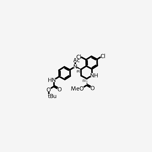 COC(=O)[C@@H]1C[C@@H](N(C(C)=O)c2ccc(NC(=O)OC(C)(C)C)cc2)c2c(Cl)cc(Cl)cc2N1